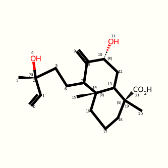 C=C[C@](C)(O)CCC1C(=C)[C@H](O)CC2[C@]1(C)CCC[C@]2(C)C(=O)O